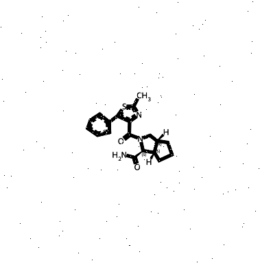 Cc1nc(C(=O)N2C[C@@H]3CCC[C@@H]3[C@H]2C(N)=O)c(-c2ccccc2)s1